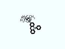 CC1(C)OB(c2ccc3c(c2)Cc2ccccc2N3c2ccccc2)OC1(C)C